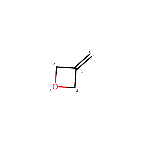 [CH]=C1COC1